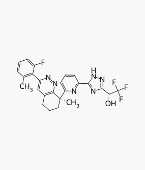 Cc1cccc(F)c1-c1cc2c(nn1)[C@@](C)(c1cccc(-c3nc([C@@H](O)C(F)(F)F)n[nH]3)n1)CCC2